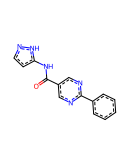 O=C(Nc1ccn[nH]1)c1cnc(-c2ccccc2)nc1